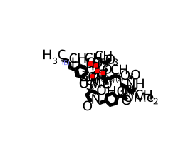 C=C[C@@H](OC)[C@@]1(O)C[C@@H]([C@@H](C)[C@@H]2O[C@@]2(C)[C@H](CC(=O)N(C)c2cc(C/C(C)=C/C)cc(OC)c2Cl)OC(=O)[C@H](C)N(C)C(=O)CCSC2CC(=O)N(CC3CCC(C(=O)C(C)C)CC3)C2=O)OC(=O)N1